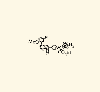 CCOC(=O)C1CN(S(C)(=O)=O)CC1N1CC=C(c2cc3c(-c4cc(F)ccc4OC)ccnc3[nH]2)CC1